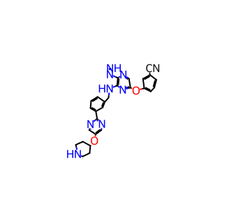 N#Cc1cccc(Oc2cnc(N=N)c(NCc3cccc(-c4ncc(OC5CCNCC5)cn4)c3)n2)c1